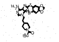 CC(C)(C)C(=O)N1CCC(CCn2cnc(N)c3nc(Sc4cc5c(cc4Br)OCO5)nc2-3)CC1